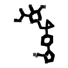 CNC(=O)c1nn(CC2(c3ccc(-c4ccnn4C)cc3)CC2)cc(O)c1=O